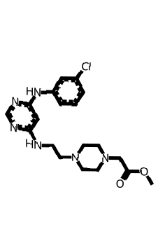 COC(=O)CN1CCN(CCNc2cc(Nc3cccc(Cl)c3)ncn2)CC1